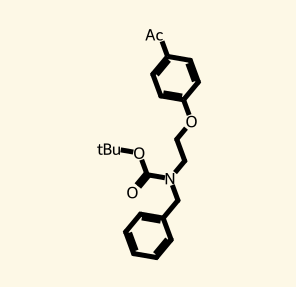 CC(=O)c1ccc(OCCN(Cc2ccccc2)C(=O)OC(C)(C)C)cc1